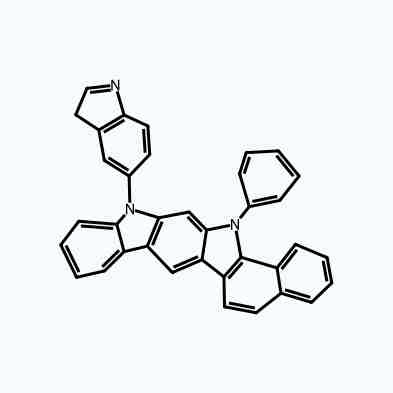 C1=Nc2ccc(-n3c4ccccc4c4cc5c6ccc7ccccc7c6n(-c6ccccc6)c5cc43)cc2C1